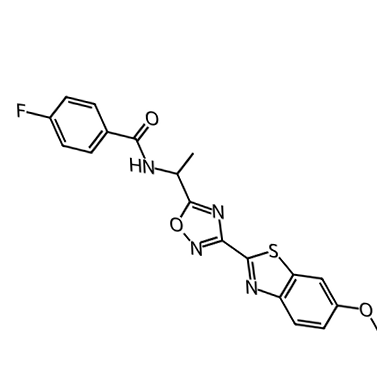 COc1ccc2nc(-c3noc(C(C)NC(=O)c4ccc(F)cc4)n3)sc2c1